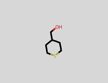 OCC1CCSCC1